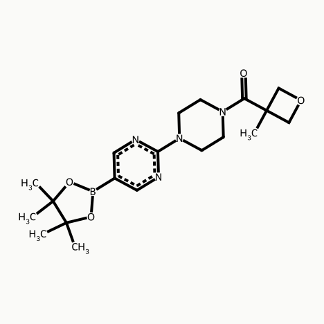 CC1(C(=O)N2CCN(c3ncc(B4OC(C)(C)C(C)(C)O4)cn3)CC2)COC1